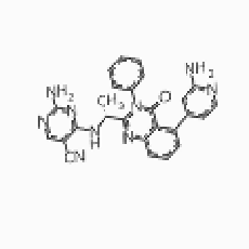 C[C@@H](Nc1nc(N)ncc1C#N)c1nc2cccc(-c3ccnc(N)c3)c2c(=O)n1-c1ccccc1